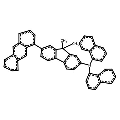 CC1(C)c2cc(-c3cccc4cc5ccccc5cc34)ccc2-c2ccc(N(c3cccc4ccccc34)c3cccc4ccccc34)cc21